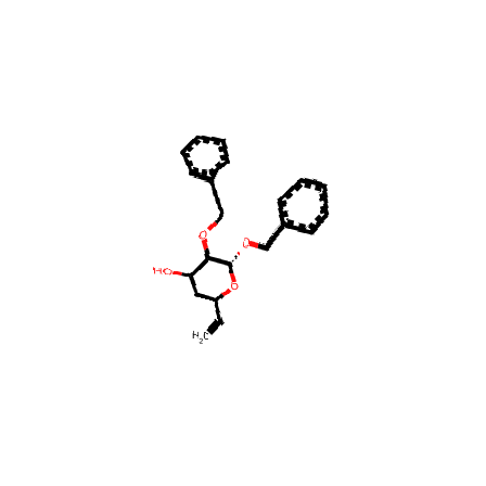 C=CC1CC(O)C(OCc2ccccc2)[C@H](OCc2ccccc2)O1